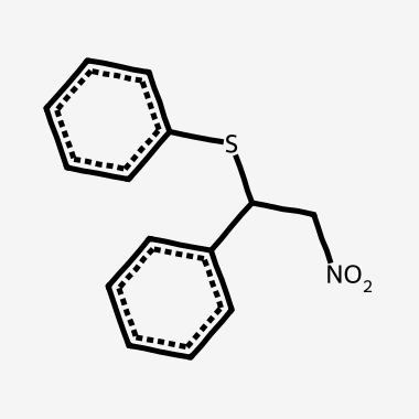 O=[N+]([O-])CC(Sc1ccccc1)c1ccccc1